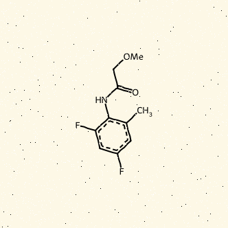 COCC(=O)Nc1c(C)cc(F)cc1F